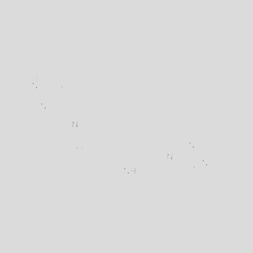 Cc1cc(N2CCNC2=O)cnc1OCCC1CC1(N)C1CCN(c2nc(C(C)C)no2)CC1